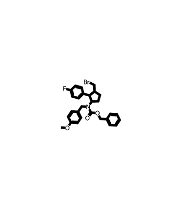 COc1ccc(CN(C(=O)OCc2ccccc2)C2CCC(CBr)C2c2ccc(F)cc2)cc1